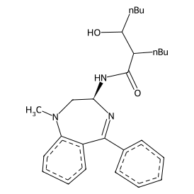 CCCCC(O)C(CCCC)C(=O)N[C@@H]1CN(C)c2ccccc2C(c2ccccc2)=N1